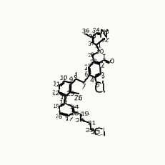 C=Cc1cc(Cl)c(CCc2cccc(-c3cccc(CCCCCl)c3)c2C)cc1CCc1cncc(C)c1